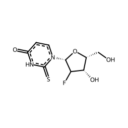 O=c1ccn([C@@H]2O[C@H](CO)[C@H](O)C2F)c(=S)[nH]1